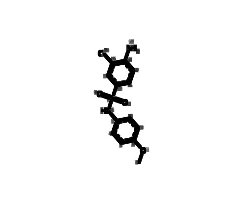 COc1ccc(NS(=O)(=O)c2ccc(N)c(Cl)c2)cc1